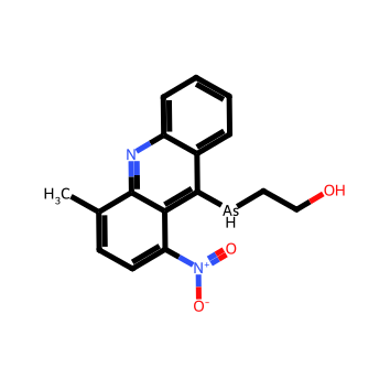 Cc1ccc([N+](=O)[O-])c2c([AsH]CCO)c3ccccc3nc12